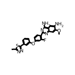 COc1cc2nc(-c3ccc(Oc4cccc(-c5nnc(C)s5)c4)cc3F)nc(N)c2cc1N